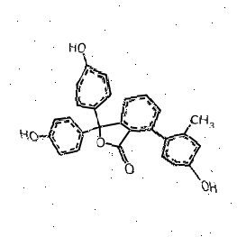 Cc1cc(O)ccc1-c1cccc2c1C(=O)OC2(c1ccc(O)cc1)c1ccc(O)cc1